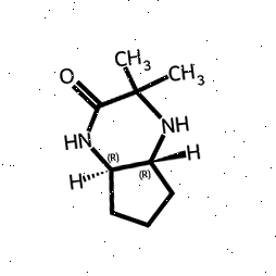 CC1(C)N[C@@H]2CCC[C@H]2NC1=O